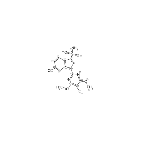 COc1nc(-n2cc(S(N)(=O)=O)c3ccc(Cl)cc32)nc(OC)c1Cl